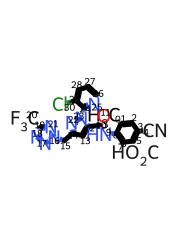 Cc1cc(C#N)cc(C(=O)O)c1NC(=O)c1cc(Cn2nnc(C(F)(F)F)n2)nn1-c1ncccc1Cl